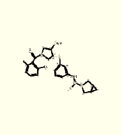 CCc1cccc(C)c1C(=O)N1CC(OC)[C@H](Oc2cccc(N[S+]([O-])N3CC4CC4C3)c2)C1